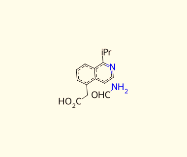 CC(C)c1nccc2c(CC(=O)O)cccc12.NC=O